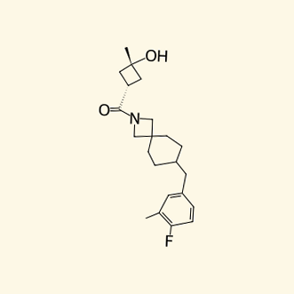 Cc1cc(CC2CCC3(CC2)CN(C(=O)[C@H]2C[C@@](C)(O)C2)C3)ccc1F